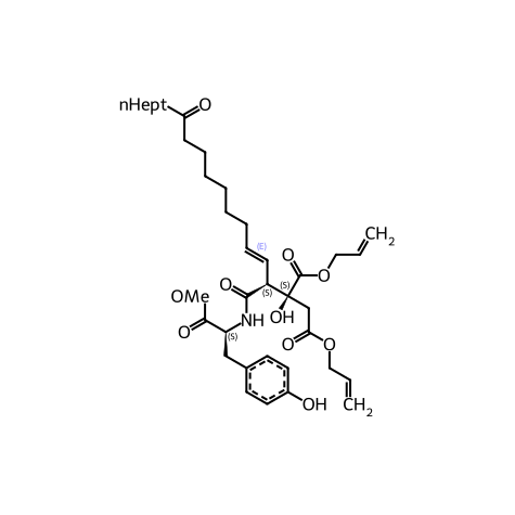 C=CCOC(=O)C[C@@](O)(C(=O)OCC=C)[C@H](/C=C/CCCCCCC(=O)CCCCCCC)C(=O)N[C@@H](Cc1ccc(O)cc1)C(=O)OC